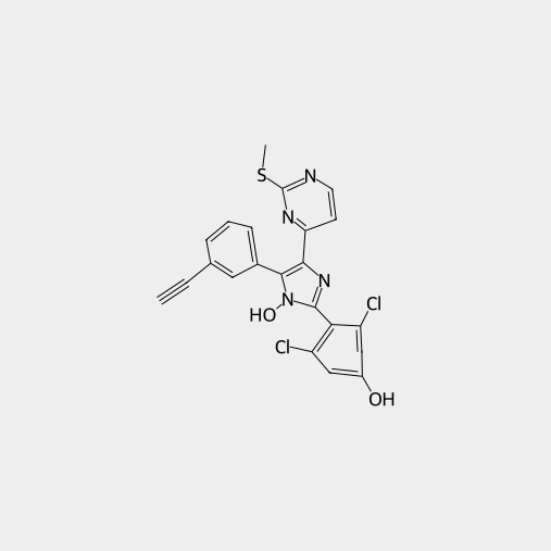 C#Cc1cccc(-c2c(-c3ccnc(SC)n3)nc(-c3c(Cl)cc(O)cc3Cl)n2O)c1